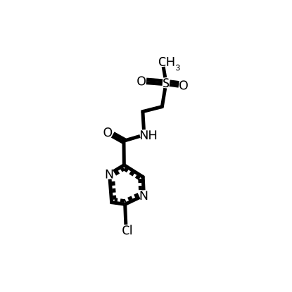 CS(=O)(=O)CCNC(=O)c1cnc(Cl)cn1